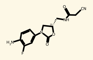 N#CCC(=O)NC[C@H]1CN(c2ccc(N)c(F)c2)C(=O)O1